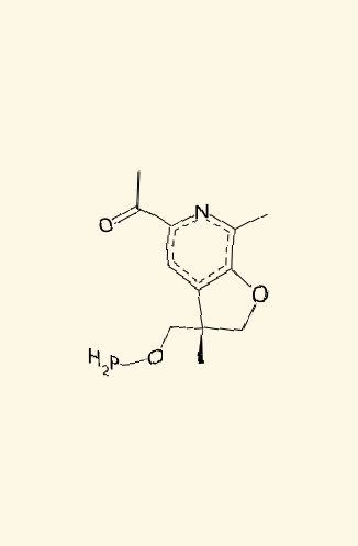 CC(=O)c1cc2c(c(C)n1)OC[C@]2(C)COP